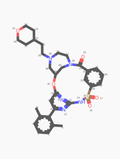 Cc1cccc(C)c1-c1cc2nc(n1)NS(=O)(=O)c1cccc(c1)C(=O)N1CCN(CCC3CCOCC3)CC(C1)O2